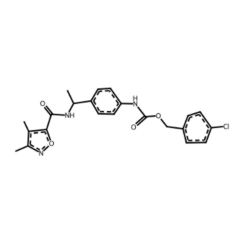 Cc1noc(C(=O)NC(C)c2ccc(NC(=O)OCc3ccc(Cl)cc3)cc2)c1C